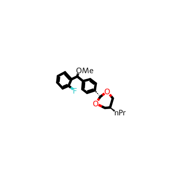 CCC[C@H]1CO[C@H](c2ccc(C(OC)c3ccccc3F)cc2)OC1